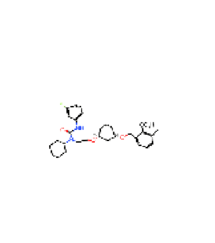 Cc1cccc(CO[C@H]2CCC[C@@H](OCCN(C(=O)Nc3cccc(F)c3)C3CCCCC3)C2)c1C(=O)O